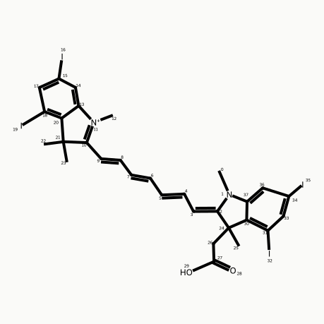 CN1\C(=C/C=C/C=C/C=C/C2=[N+](C)c3cc(I)cc(I)c3C2(C)C)C(C)(CC(=O)O)c2c(I)cc(I)cc21